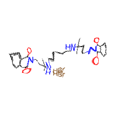 Br.Br.CC(C)(CCN1C(=O)c2ccccc2C1=O)NCCCCCCNC(C)(C)CCN1C(=O)c2ccccc2C1=O